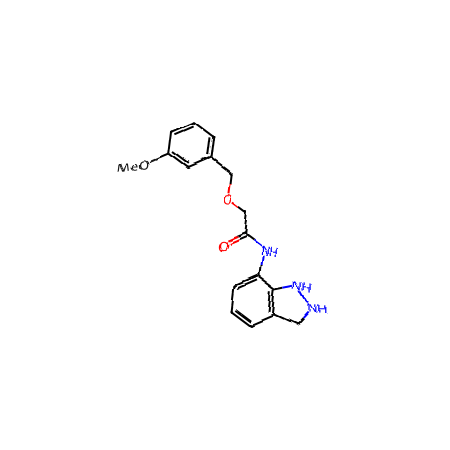 COc1cccc(COCC(=O)Nc2cccc3c2NNC3)c1